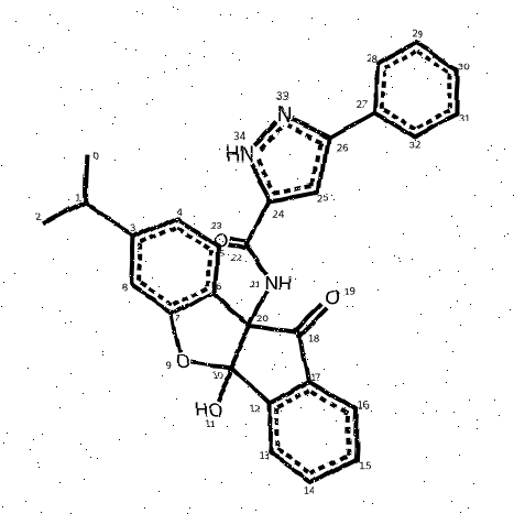 CC(C)c1ccc2c(c1)OC1(O)c3ccccc3C(=O)C21NC(=O)c1cc(-c2ccccc2)n[nH]1